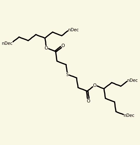 CCCCCCCCCCCCCC(CCCCCCCCCCCC)OC(=O)CCSCCC(=O)OC(CCCCCCCCCCCC)CCCCCCCCCCCCC